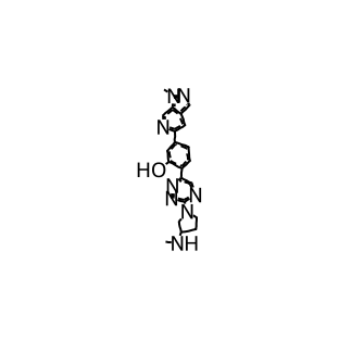 CNC1CCN(c2ncc(-c3ccc(-c4cc5cnn(C)c5cn4)cc3O)nn2)C1